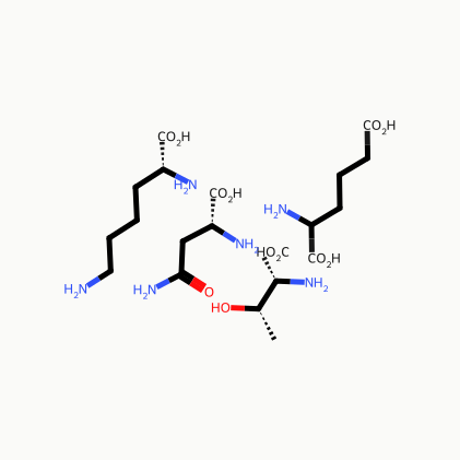 C[C@H](O)[C@@H](N)C(=O)O.NC(=O)C[C@@H](N)C(=O)O.NC(CCCC(=O)O)C(=O)O.NCCCC[C@@H](N)C(=O)O